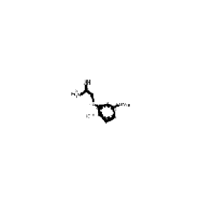 COc1cccc(OCC(=N)N)c1.Cl